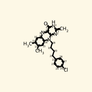 C=c1nc2c(c(=O)[nH]1)=Nc1cc(C)c(C)cc1N2CCCCc1ccc(Cl)cc1